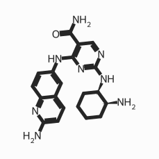 NC(=O)c1cnc(N[C@@H]2CCCC[C@@H]2N)nc1Nc1ccc2nc(N)ccc2c1